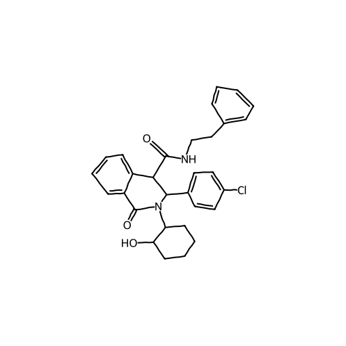 O=C(NCCc1ccccc1)C1c2ccccc2C(=O)N(C2CCCCC2O)C1c1ccc(Cl)cc1